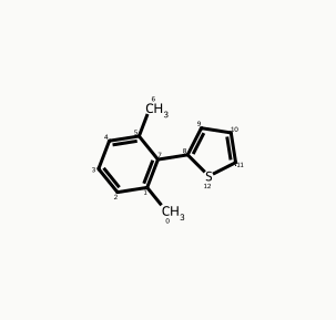 Cc1cccc(C)c1-c1cc[c]s1